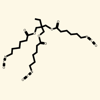 CCC(COC(=O)CCCCCN=C=O)(COC(=O)CCCCCN=C=O)COC(=O)CCCCCN=C=O